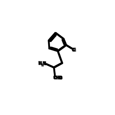 NC(C=O)Cc1ccccc1Cl